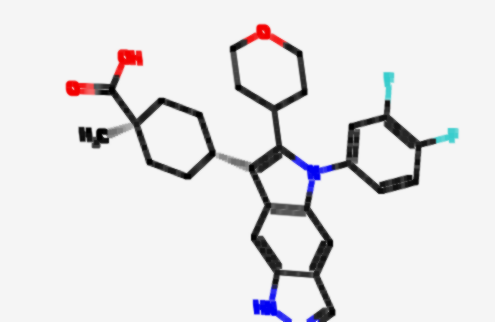 C[C@]1(C(=O)O)CC[C@H](c2c(C3CCOCC3)n(-c3ccc(F)c(F)c3)c3cc4cn[nH]c4cc32)CC1